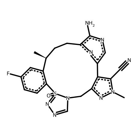 C[C@H]1CCc2nc(cnc2N)-c2c(nn(C)c2C#N)CN2C=NN=S2(=O)c2ccc(F)cc21